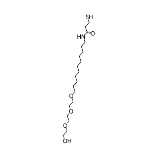 O=C(CCS)NCCCCCCCCCCCOCCOCCOCCO